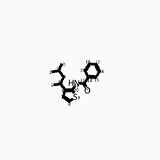 CC(C)CC(C)c1ccsc1NC(=O)c1ccccc1